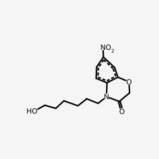 O=C1COc2cc([N+](=O)[O-])ccc2N1CCCCCCO